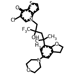 CC(C)(CC(O)(Cn1cc(Cl)c(=O)c2sccc21)C(F)(F)F)c1cc(N2CCOCC2)cc2c1OCC2